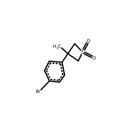 CC1(c2ccc(Br)cc2)CS(=O)(=O)C1